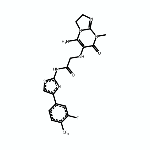 CN1C(=O)C(NCC(=O)Nc2nc(-c3ccc(C(F)(F)F)c(F)c3)cs2)=C(N)N2CCN=C12